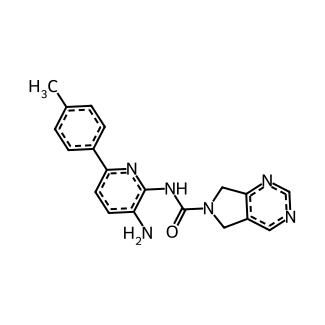 Cc1ccc(-c2ccc(N)c(NC(=O)N3Cc4cncnc4C3)n2)cc1